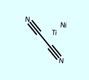 N#CC#N.[Ni].[Ti]